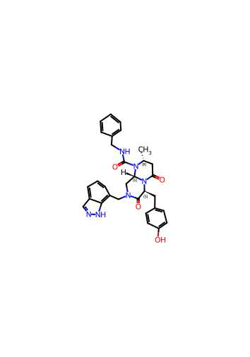 C[C@@H]1CC(=O)N2[C@H](CN(Cc3cccc4cn[nH]c34)C(=O)[C@@H]2Cc2ccc(O)cc2)N1C(=O)NCc1ccccc1